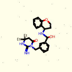 CCC1(CC)CC(=O)N(Cc2cccc(C(O)NC3CCOc4ccccc43)c2)C(=N)N1